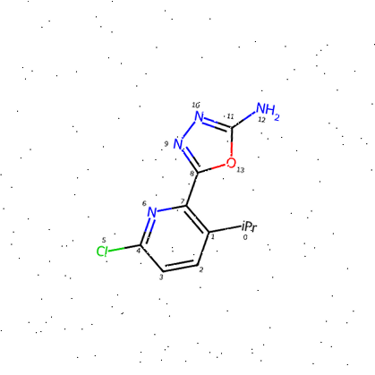 CC(C)c1ccc(Cl)nc1-c1nnc(N)o1